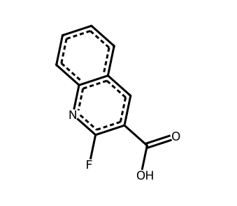 O=C(O)c1cc2ccccc2nc1F